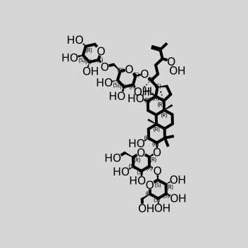 C=C(C)C(CC[C@](C)(O[C@@H]1O[C@H](CO[C@@H]2OC[C@@H](O)[C@H](O)[C@H]2O)[C@@H](O)[C@H](O)[C@H]1O)[C@H]1CC[C@]2(C)[C@@H]1[C@H](O)CC1[C@@]3(C)C[C@@H](O)[C@H](O[C@@H]4O[C@H](CO)[C@@H](O)[C@H](O)[C@H]4O[C@@H]4O[C@H](CO)[C@@H](O)[C@H](O)[C@H]4O)C(C)(C)C3CC[C@]12C)OO